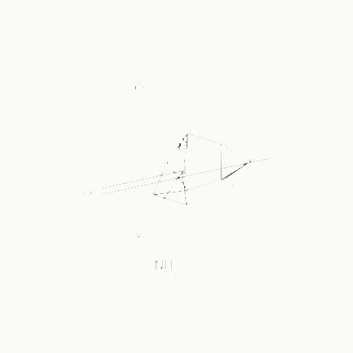 NCC1C(=O)OC(=O)C2C3C4C1C1C2C1C34